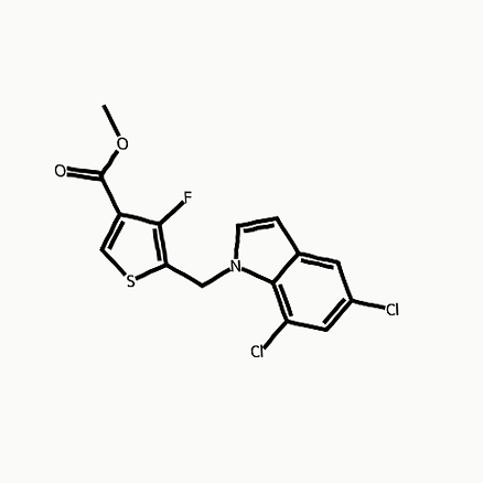 COC(=O)c1csc(Cn2ccc3cc(Cl)cc(Cl)c32)c1F